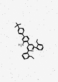 CCc1ccccc1-c1cc(-c2ccc(-c3ccc(C(C)(C)C)cc3)cc2N)cc(-c2ccccc2CC)n1